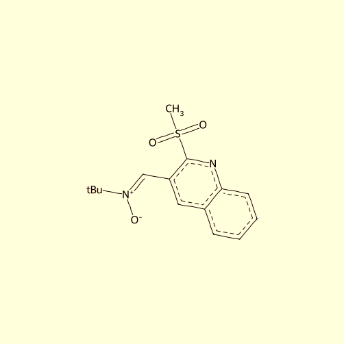 CC(C)(C)[N+]([O-])=Cc1cc2ccccc2nc1S(C)(=O)=O